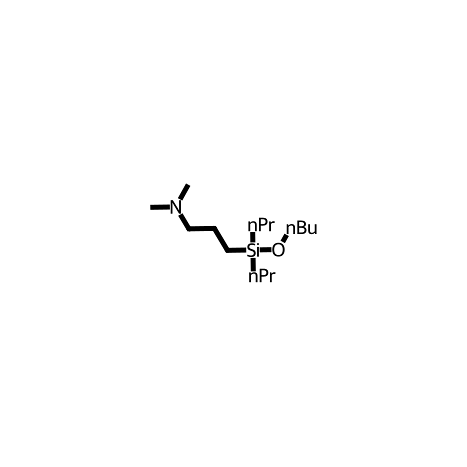 CCCCO[Si](CCC)(CCC)CCCN(C)C